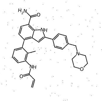 C=CC(=O)Nc1cccc(-c2ccc(C(N)=O)c3[nH]c(-c4ccc(CN5CCOCC5)cc4)cc23)c1C